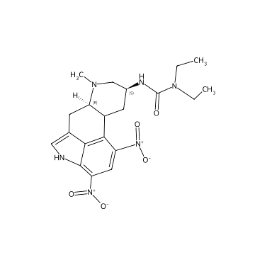 CCN(CC)C(=O)N[C@H]1CC2c3c([N+](=O)[O-])cc([N+](=O)[O-])c4[nH]cc(c34)C[C@H]2N(C)C1